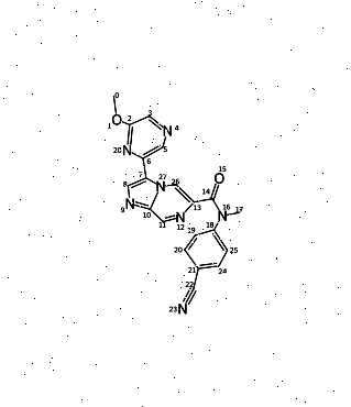 COc1cncc(-c2cnc3cnc(C(=O)N(C)c4ccc(C#N)cc4)cn23)n1